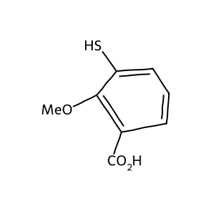 COc1c(S)cccc1C(=O)O